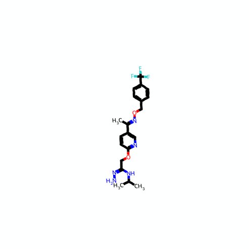 C/C(=N\OCc1ccc(C(F)(F)F)cc1)c1ccc(OC/C(=N/N)NC(C)C)nc1